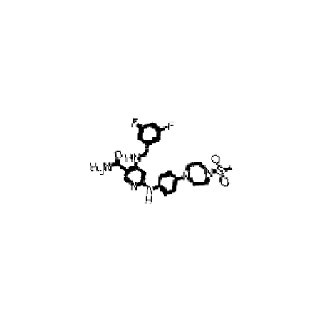 CS(=O)(=O)N1CCN(c2ccc(Nc3cc(NCc4cc(F)cc(F)c4)c(C(N)=O)cn3)cc2)CC1